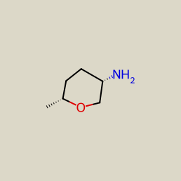 C[C@@H]1CC[C@H](N)CO1